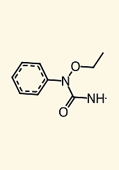 CCON(C([NH])=O)c1ccccc1